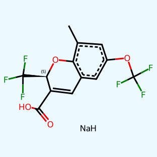 Cc1cc(OC(F)(F)F)cc2c1O[C@H](C(F)(F)F)C(C(=O)O)=C2.[NaH]